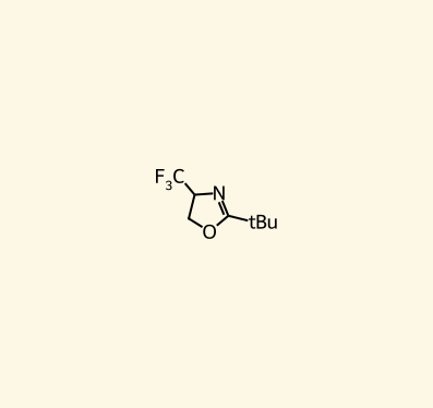 CC(C)(C)C1=NC(C(F)(F)F)CO1